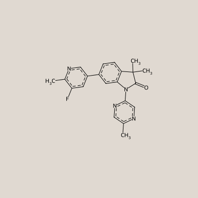 Cc1cnc(N2C(=O)C(C)(C)c3ccc(-c4cnc(C)c(F)c4)cc32)cn1